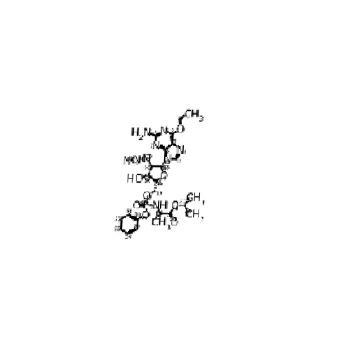 CCOc1nc(N)nc2c1ncn2[C@@H]1O[C@H](COP(=O)(N[C@H](C)C(=O)OC(C)C)Oc2ccccc2)[C@@H](O)C1N=[N+]=[N-]